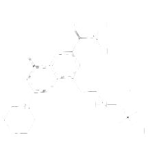 CN(C)C(=O)c1cc(CCN[S@+]([O-])C(C)(C)C)c2oc(N3CCOCC3)cc(=O)c2c1